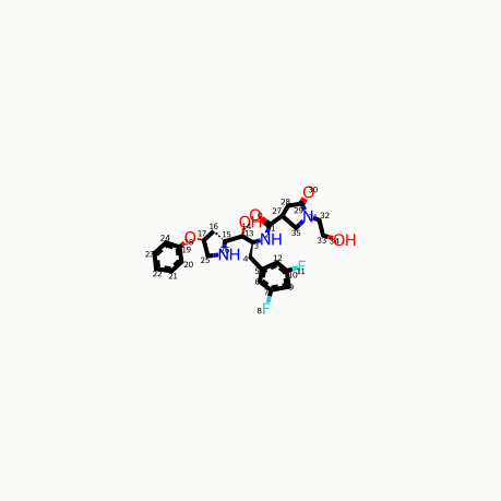 O=C(N[C@@H](Cc1cc(F)cc(F)c1)[C@H](O)[C@H]1C[C@@H](Oc2ccccc2)CN1)C1CC(=O)N(CCO)C1